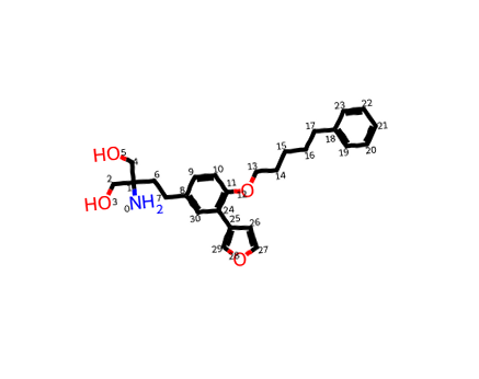 NC(CO)(CO)CCc1ccc(OCCCCCc2ccccc2)c(-c2ccoc2)c1